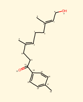 CC(=CCC/C(C)=C/CO)CCC(=O)c1ccc(C)cc1